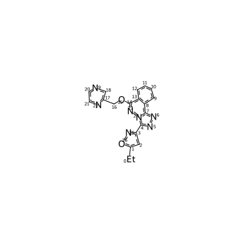 CCc1cc(-c2nnc3c4ccccc4c(OCc4cnccn4)nn23)no1